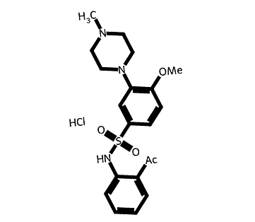 COc1ccc(S(=O)(=O)Nc2ccccc2C(C)=O)cc1N1CCN(C)CC1.Cl